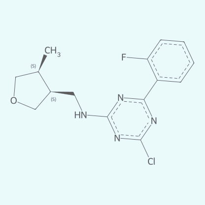 C[C@@H]1COC[C@@H]1CNc1nc(Cl)nc(-c2ccccc2F)n1